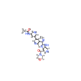 CC/N=C(/c1nc2c(C(=O)N3CCOCC3)cncc2[nH]1)c1cc(-c2cncc(NC(=O)C3CC3)c2)cnc1C